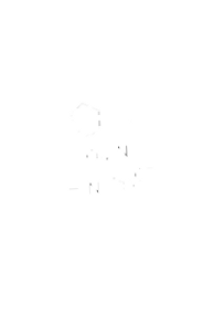 NC(=O)C(=O)N1C(c2ccccc2)CCCC1C(F)(F)F